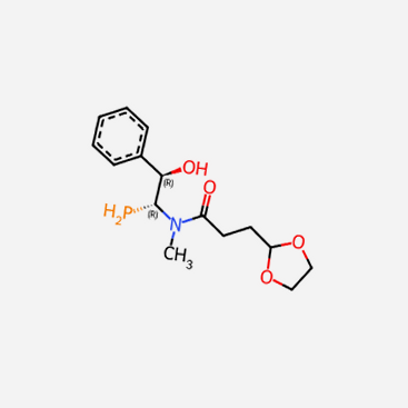 CN(C(=O)CCC1OCCO1)[C@H](P)[C@H](O)c1ccccc1